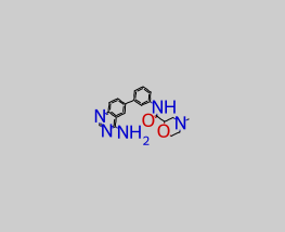 CN1CCOC(C(=O)Nc2cccc(-c3ccc4ncnc(N)c4c3)c2)C1